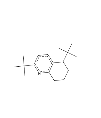 CC(C)(C)c1ccc2c(n1)CCCC2C(C)(C)C